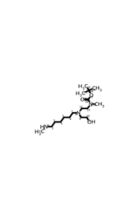 CNCCCCCCN(CCO)CCN(C)C(=O)OC(C)(C)C